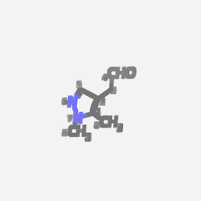 Cc1c(CC=O)cnn1C